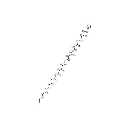 CCCCCCCCCCCCCCCCCCCCCCCCCCCCCCCS